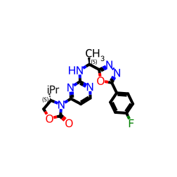 CC(C)[C@H]1COC(=O)N1c1ccnc(N[C@@H](C)c2nnc(-c3ccc(F)cc3)o2)n1